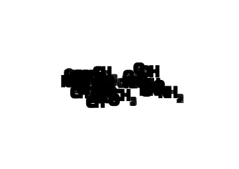 C#CCCCON(C(=O)[C@@H](NC(=O)[C@H]1CCCCN1C)[C@@H](C)CC)[C@H](C[C@@H](OC(C)=O)c1nc(C(=O)N[C@@H](Cc2ccc(NC(=O)[C@H](CCC(=O)O)NC(=O)CNC(=O)CNC(=O)CN)cc2)CC(C)(C)C(=O)O)cs1)C(C)C